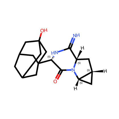 N=C1N[C@@H](C23CC4CC(CC(O)(C4)C2)C3)C(=O)N2[C@H]1C[C@@H]1C[C@@H]12